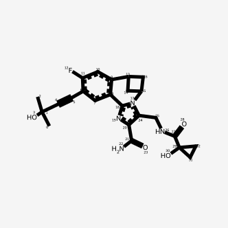 CC(C)(O)C#Cc1cc2c(cc1F)C1CC(C1)n1c-2nc(C(N)=O)c1CNC(=O)C1(O)CC1